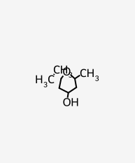 CC.CC1CC(O)CCO1